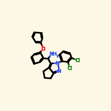 NC(c1ccccc1Oc1ccccc1)c1c2c(nn1-c1cccc(Cl)c1Cl)CCC2